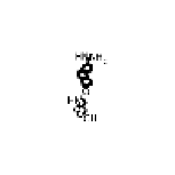 N=C(N)c1ccc2c(ccc3cc(OC[C@@H]4C[C@@H](CC(=O)O)C(=O)N4)ccc32)c1